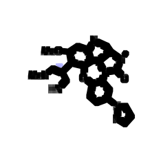 CN/C=C(\C=N)c1c(OC)cc2ncc3c4c2c1oc1ccc(-n2cccn2)cc1n4c(=O)n3C